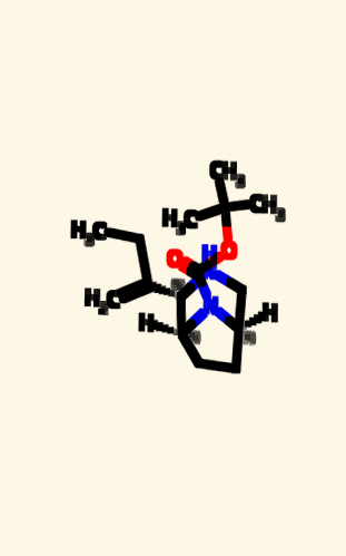 C=C(CC)[C@@H]1NC[C@H]2CC[C@@H]1N2C(=O)OC(C)(C)C